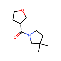 CC1(C)CCN(C(=O)[C@@H]2CCOC2)C1